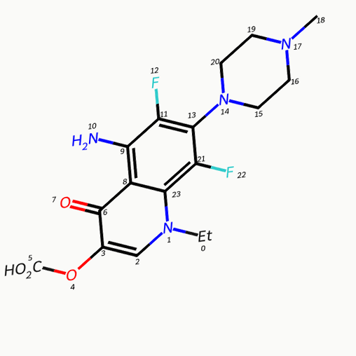 CCn1cc(OC(=O)O)c(=O)c2c(N)c(F)c(N3CCN(C)CC3)c(F)c21